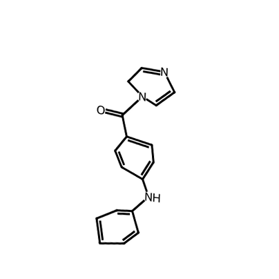 O=C(c1ccc(Nc2ccccc2)cc1)N1C=CN=CC1